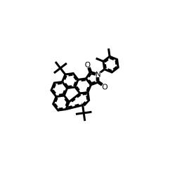 Cc1cccc(-n2c(=O)c3c4cc(C(C)(C)C)c5ccc6ccc7c(C(C)(C)C)cc(c3c2=O)c2c7c6c5c42)c1C